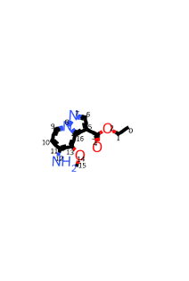 CCOC(=O)c1cnn2ccc(N)c(OC)c12